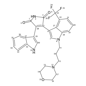 O=C1NC(=O)C(c2cn(CCCN3CCOCC3)c3cccc(C(F)(F)F)c23)=C1c1c[nH]c2ccccc12